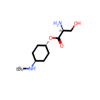 CC(C)(C)N[C@H]1CC[C@H](OC(=O)[C@@H](N)CO)CC1